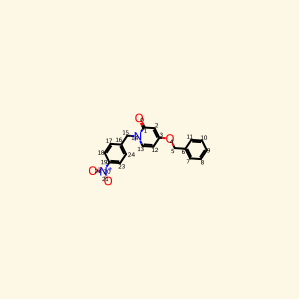 O=c1cc(OCc2ccccc2)ccn1Cc1ccc([N+](=O)[O-])cc1